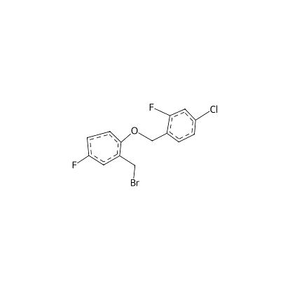 Fc1ccc(OCc2ccc(Cl)cc2F)c(CBr)c1